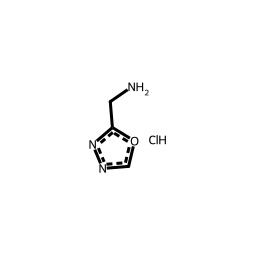 Cl.NCc1nnco1